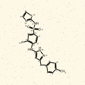 Cc1ccc(Cc2cc(Nc3ccc(S(=O)(=O)Nc4nccs4)cc3F)[nH]n2)cc1